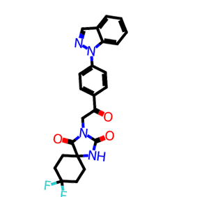 O=C(CN1C(=O)NC2(CCC(F)(F)CC2)C1=O)c1ccc(-n2ncc3ccccc32)cc1